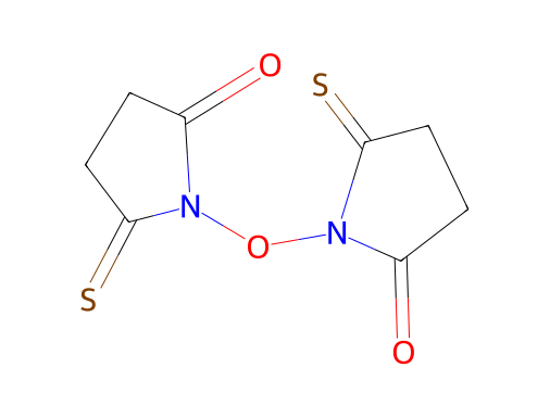 O=C1CCC(=S)N1ON1C(=O)CCC1=S